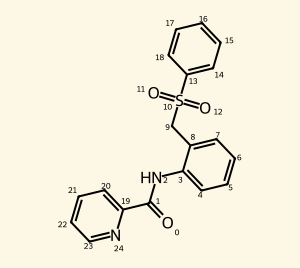 O=C(Nc1ccccc1CS(=O)(=O)c1ccccc1)c1ccccn1